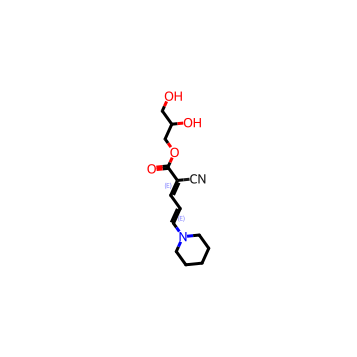 N#C/C(=C\C=C\N1CCCCC1)C(=O)OCC(O)CO